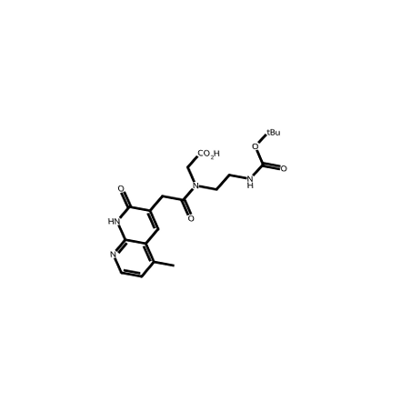 Cc1ccnc2[nH]c(=O)c(CC(=O)N(CCNC(=O)OC(C)(C)C)CC(=O)O)cc12